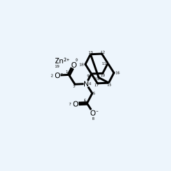 O=C([O-])CN(CC(=O)[O-])C12CC3CC(CC(C3)C1)C2.[Zn+2]